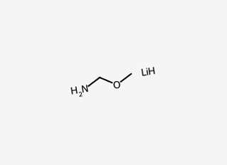 COCN.[LiH]